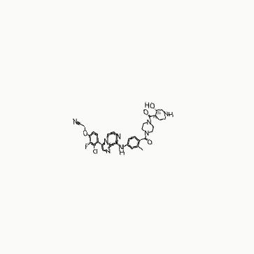 Cc1cc(Nc2nccn3c(-c4ccc(OCC#N)c(F)c4Cl)cnc23)ccc1C(=O)N1CCN(C(=O)[C@@H]2CCNC[C@H]2O)CC1